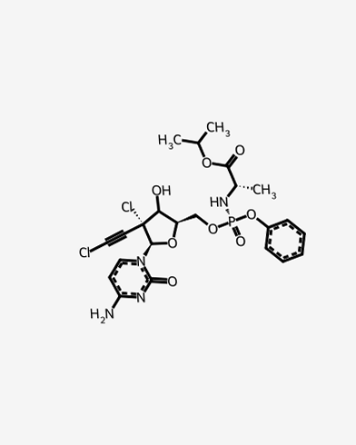 CC(C)OC(=O)[C@H](C)N[P@](=O)(OC[C@H]1O[C@@H](n2ccc(N)nc2=O)[C@@](Cl)(C#CCl)C1O)Oc1ccccc1